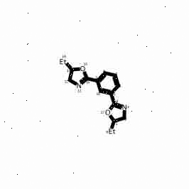 CCC1CN=C(c2cccc(C3=NCC(CC)O3)c2)O1